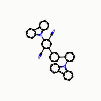 N#Cc1cc(-n2c3ccccc3c3ccccc32)c(C#N)cc1-c1cccc(-c2ccccc2-n2c3ccccc3c3ccccc32)c1